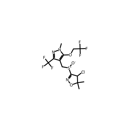 Cn1nc(C(F)(F)F)c(C[S+]([O-])C2=NOC(C)(C)C2Cl)c1OCC(F)(F)F